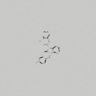 COc1ncccc1CC(CO)n1c(=N)n(Cc2ccc(C)cc2)c2ccccc21